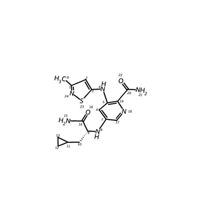 Cc1cc(Nc2cc(N[C@H](CC3CC3)C(N)=O)cnc2C(N)=O)sn1